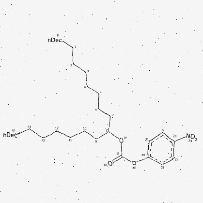 CCCCCCCCCCCCCCCCCC(CCCCCCCCCCCCCCCC)OC(=O)Oc1ccc([N+](=O)[O-])cc1